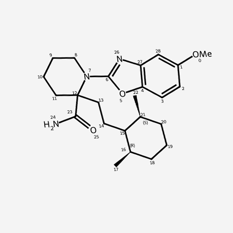 COc1ccc2oc(N3CCCCC3(CCC3[C@H](C)CCC[C@@H]3C)C(N)=O)nc2c1